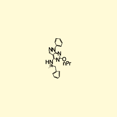 CCCOc1nc(N[C@@H](C)Cc2ccccc2)c2cnn(-c3ccccc3)c2n1